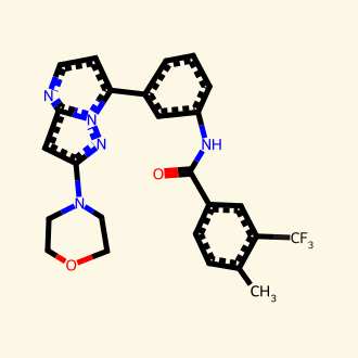 Cc1ccc(C(=O)Nc2cccc(-c3ccnc4cc(N5CCOCC5)nn34)c2)cc1C(F)(F)F